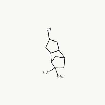 CC(=O)OC1(C)CC2CC1C1CC(C#N)CC21